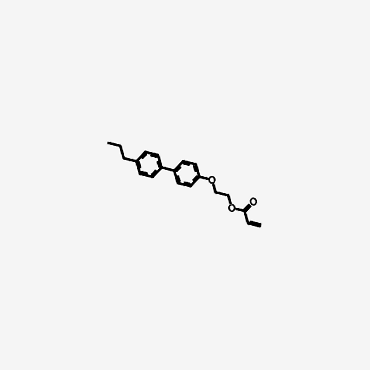 C=CC(=O)OCCOc1ccc(-c2ccc(CCC)cc2)cc1